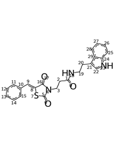 O=C(CCN1C(=O)S/C(=C\c2ccccc2)C1=O)NCCc1c[nH]c2ccccc12